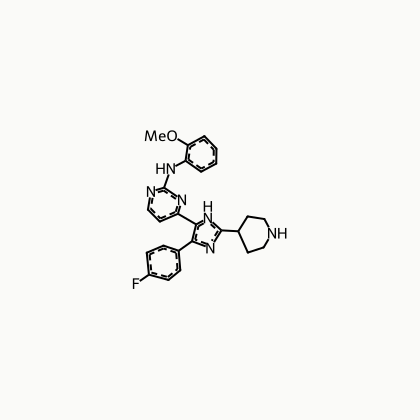 COc1ccccc1Nc1nccc(-c2[nH]c(C3CCNCC3)nc2-c2ccc(F)cc2)n1